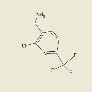 NCc1ccc(C(F)(F)F)nc1Cl